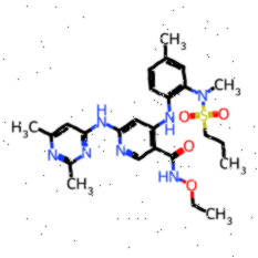 CCCS(=O)(=O)N(C)c1cc(C)ccc1Nc1cc(Nc2cc(C)nc(C)n2)ncc1C(=O)NOCC